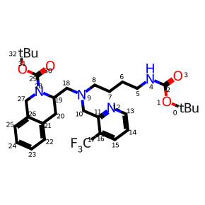 CC(C)(C)OC(=O)NCCCCN(Cc1ncccc1C(F)(F)F)CC1Cc2ccccc2CN1C(=O)OC(C)(C)C